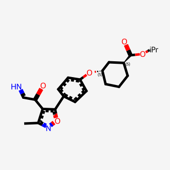 Cc1noc(-c2ccc(O[C@H]3CCC[C@H](C(=O)OC(C)C)C3)cc2)c1C(=O)C=N